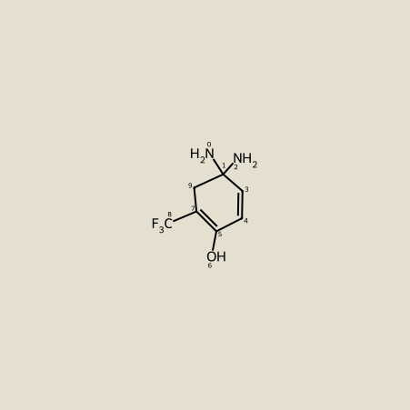 NC1(N)C=CC(O)=C(C(F)(F)F)C1